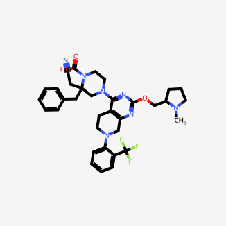 CN1CCCC1COc1nc2c(c(N3CCN(C(=O)O)C(CC#N)(Cc4ccccc4)C3)n1)CCN(c1ccccc1C(F)(F)F)C2